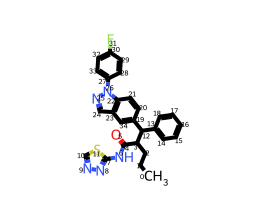 CCCC(C(=O)Nc1nncs1)C(c1ccccc1)c1ccc2c(cnn2-c2ccc(F)cc2)c1